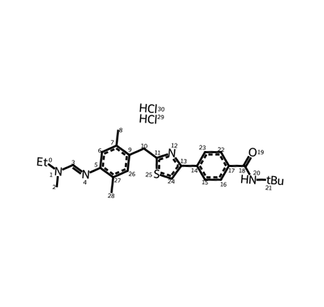 CCN(C)C=Nc1cc(C)c(Cc2nc(-c3ccc(C(=O)NC(C)(C)C)cc3)cs2)cc1C.Cl.Cl